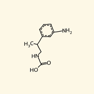 CC(CNC(=O)O)c1cccc(N)c1